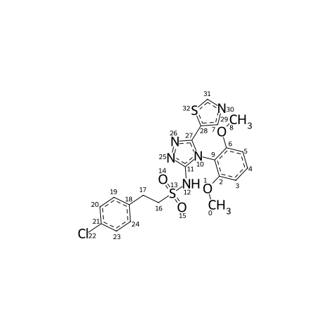 COc1cccc(OC)c1-n1c(NS(=O)(=O)CCc2ccc(Cl)cc2)nnc1-c1cncs1